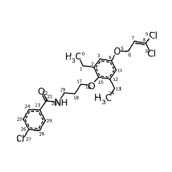 CCc1cc(OCC=C(Cl)Cl)cc(CC)c1OCCCNC(=O)c1ccc(Cl)cc1